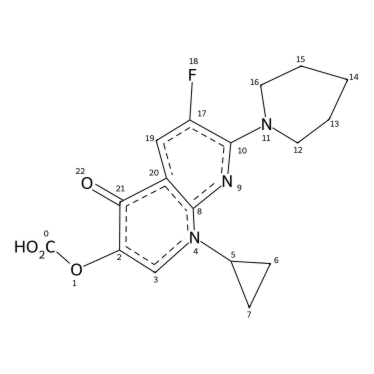 O=C(O)Oc1cn(C2CC2)c2nc(N3CCCCC3)c(F)cc2c1=O